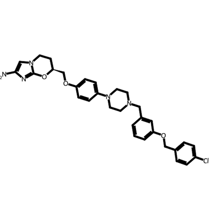 O=[N+]([O-])c1cn2c(n1)O[C@H](COc1ccc(N3CCN(Cc4cccc(OCc5ccc(Cl)cc5)c4)CC3)cc1)CC2